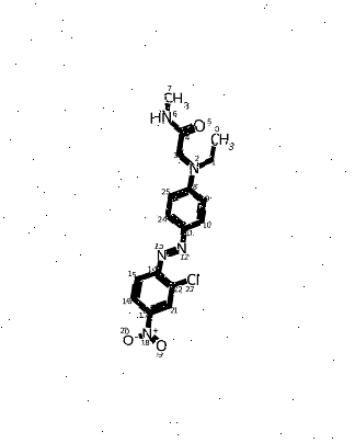 CCN(CC(=O)NC)c1ccc(/N=N/c2ccc([N+](=O)[O-])cc2Cl)cc1